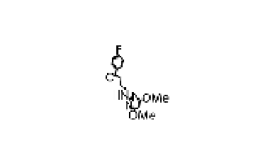 COc1cc(OC)nc(NCCCC(=O)c2ccc(F)cc2)n1